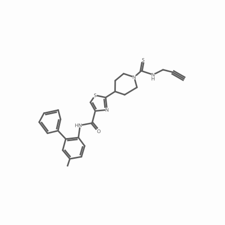 C#CCNC(=S)N1CCC(c2nc(C(=O)Nc3ccc(C)cc3-c3ccccc3)cs2)CC1